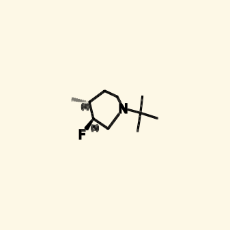 C[C@@H]1CCN(C(C)(C)C)C[C@H]1F